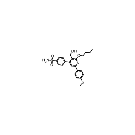 CCCCOc1nc(-c2ccc(SC)cc2)cc(-c2ccc(S(N)(=O)=O)cc2)c1CO